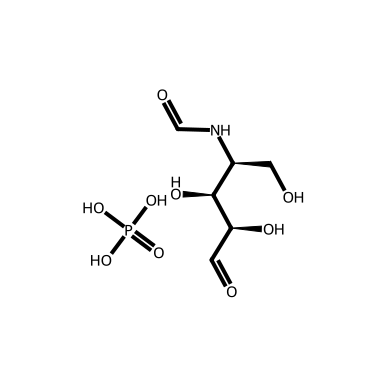 O=CN[C@@H](CO)[C@H](O)[C@@H](O)C=O.O=P(O)(O)O